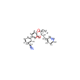 C[C@@H](Oc1ccc(-c2cccc(C#N)c2)cc1)[C@@H](O)CCc1cccnc1